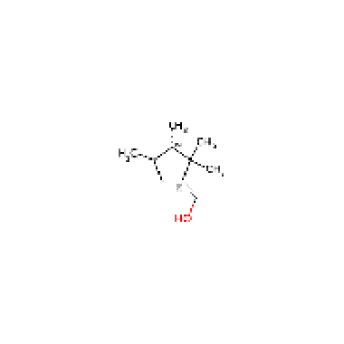 CC1C[C@@H](CO)C(C)(C)[C@H]1C